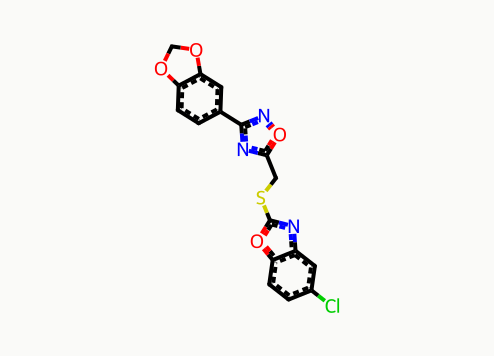 Clc1ccc2oc(SCc3nc(-c4ccc5c(c4)OCO5)no3)nc2c1